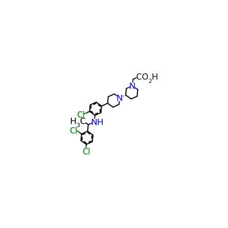 CC(Nc1cc(C2CCN([C@H]3CCCN(CC(=O)O)C3)CC2)ccc1Cl)c1ccc(Cl)cc1Cl